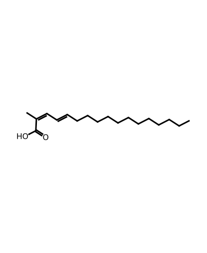 CCCCCCCCCCCCC=CC=C(C)C(=O)O